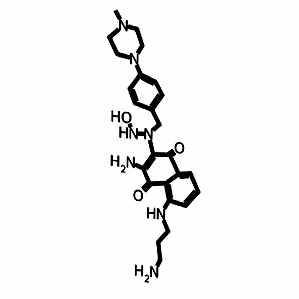 CN1CCN(c2ccc(CN(NO)C3=C(N)C(=O)c4c(NCCCN)cccc4C3=O)cc2)CC1